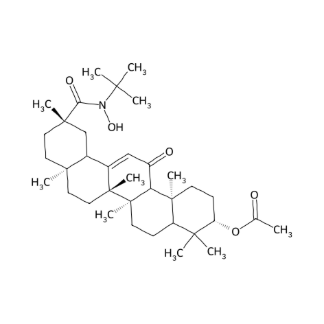 CC(=O)O[C@H]1CC[C@@]2(C)C(CC[C@]3(C)C2C(=O)C=C2C4C[C@@](C)(C(=O)N(O)C(C)(C)C)CC[C@]4(C)CC[C@]23C)C1(C)C